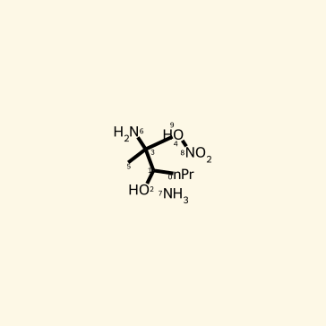 CCCC(O)C(C)(C)N.N.O=[N+]([O-])O